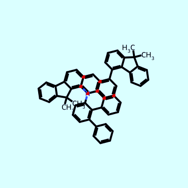 CC1(C)c2ccccc2-c2c(-c3cccc(N(c4cccc(-c5ccccc5)c4-c4ccccc4-c4ccccc4)c4cccc5c4C(C)(C)c4ccccc4-5)c3)cccc21